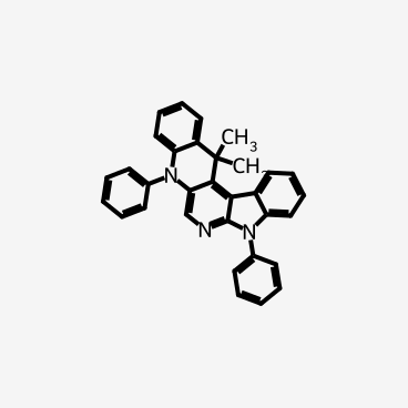 CC1(C)c2ccccc2N(c2ccccc2)c2cnc3c(c21)c1ccccc1n3-c1ccccc1